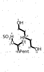 CCCCCC(CC)OS(=O)(=O)O.OCCNCCO